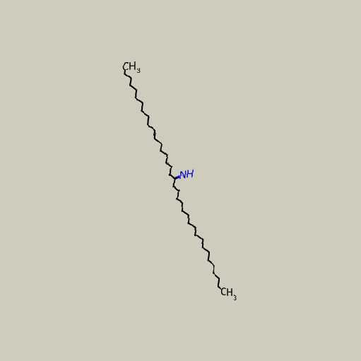 CCCCCCCCCCCCCCCCCCC(=N)CCCCCCCCCCCCCCCCCC